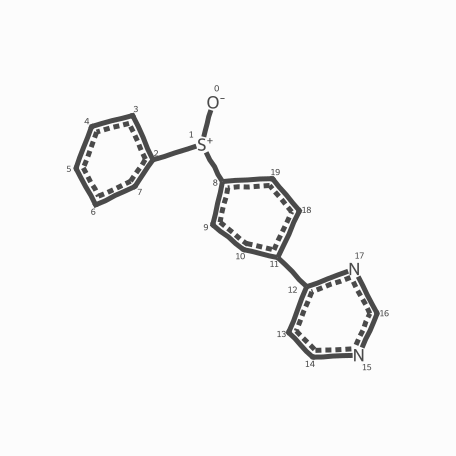 [O-][S+](c1ccccc1)c1ccc(-c2ccncn2)cc1